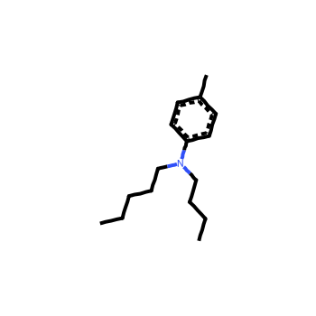 CCCCCN(CCCC)c1ccc(C)cc1